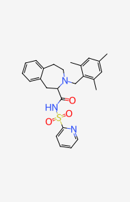 Cc1cc(C)c(CN2CCc3ccccc3CC2C(=O)NS(=O)(=O)c2ccccn2)c(C)c1